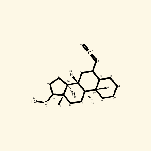 C=C=CC1C[C@@H]2[C@H](CC[C@]3(C)C(OO)CC[C@@H]23)[C@@]2(C)CCCCC12